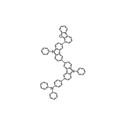 c1ccc(N(c2ccccc2)c2ccc(-c3ccc4c(c3)c3cc(-c5ccc6c(c5)c5cc(-c7cccc8c7oc7ccccc78)ccc5n6-c5ccccc5)ccc3n4-c3ccccc3)cc2)cc1